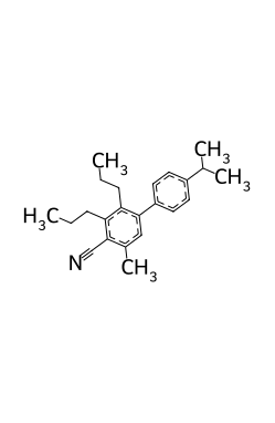 CCCc1c(-c2ccc(C(C)C)cc2)cc(C)c(C#N)c1CCC